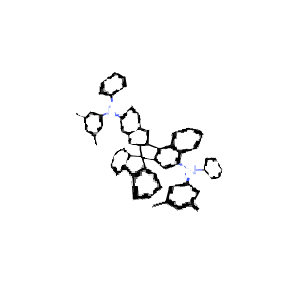 Cc1cc(C)cc(N(c2ccccc2)c2ccc3cc4c(cc3c2)C2(c3ccccc3-c3ccccc32)c2cc(N(c3ccccc3)c3cc(C)cc(C)c3)c3ccccc3c2-4)c1